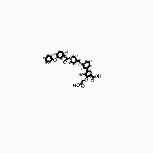 O=C(O)COc1c(C(=O)O)sc(-c2cccc(OCC3CCN(C(=O)Nc4cccc(Oc5ccccc5)c4)CC3)c2)c1Br